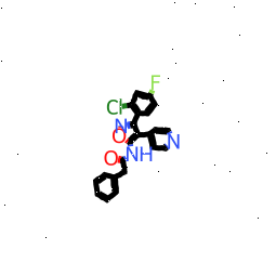 O=C(Cc1ccccc1)Nc1onc(-c2ccc(F)cc2Cl)c1-c1ccncc1